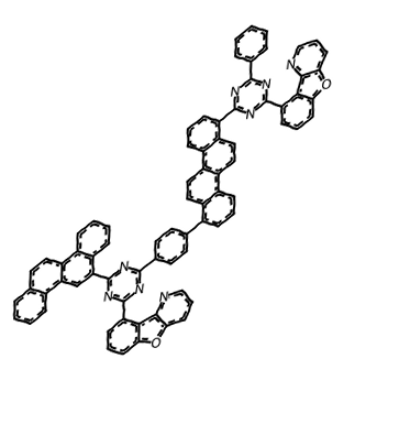 c1ccc(-c2nc(-c3cccc4c3ccc3c5cccc(-c6ccc(-c7nc(-c8cc9c%10ccccc%10ccc9c9ccccc89)nc(-c8cccc9oc%10cccnc%10c89)n7)cc6)c5ccc43)nc(-c3cccc4oc5cccnc5c34)n2)cc1